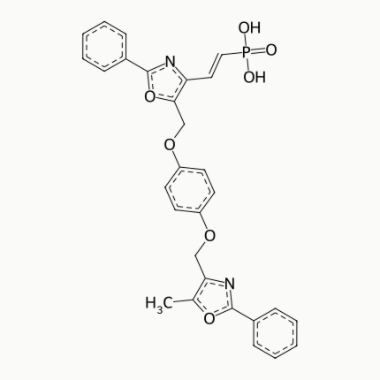 Cc1oc(-c2ccccc2)nc1COc1ccc(OCc2oc(-c3ccccc3)nc2C=CP(=O)(O)O)cc1